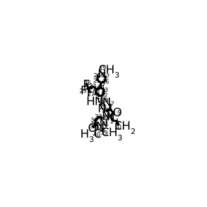 C=CCn1c(=O)c2cnc(Nc3ccc(C4CCN(C)CC4)c(CC(F)(F)F)c3)nc2n1-c1ccc(=O)n(C(C)C)n1